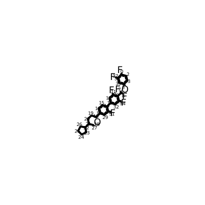 Fc1ccc(OC(F)(F)c2c(F)cc(-c3ccc(C4CCC(C5CCCC5)CO4)cc3F)cc2F)cc1F